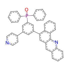 O=P(c1ccccc1)(c1ccccc1)c1cc(-c2ccncc2)cc(-c2cc3cc4ccccc4nc3c3ccccc23)c1